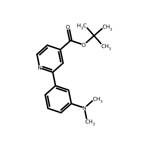 CN(C)c1cccc(-c2cc(C(=O)OC(C)(C)C)ccn2)c1